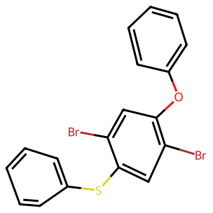 Brc1cc(Sc2ccccc2)c(Br)cc1Oc1ccccc1